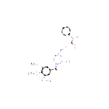 CCC(C(=O)OCCN1CCN(C(=O)c2cc(OC)c(OC)c(OC)c2)CC1)c1ccccc1.Cl